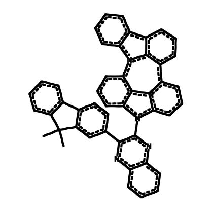 CC1(C)c2ccccc2-c2ccc(-c3nc4ccccc4nc3-n3c4cccc5c6cccc7c8ccccc8n(c8cccc3c8c54)c67)cc21